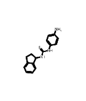 Nc1ccc(NC(=S)NC2CCc3ccccc32)cc1